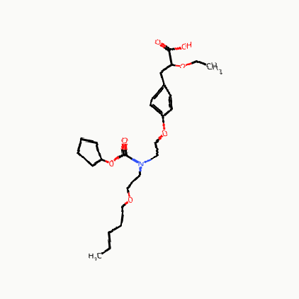 CCCCCOCCN(CCOc1ccc(CC(OCC)C(=O)O)cc1)C(=O)OC1CCCC1